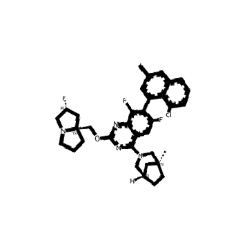 Cc1cc(-c2c(F)cc3c(N4C[C@H]5CC[C@@](C)(C5)C4)nc(OC[C@@]45CCCN4C[C@H](F)C5)nc3c2F)c2c(Cl)cccc2c1